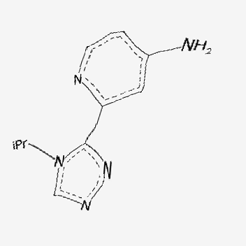 CC(C)n1cnnc1-c1cc(N)ccn1